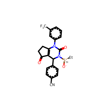 CC[S@@+]([O-])N1C(=O)N(c2cccc(C(F)(F)F)c2)C2=C(C(=O)CC2)C1c1ccc(C#N)cc1